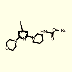 CC(C)(C)OC(=O)N[C@@H]1CCCN(c2cc(I)cc(N3CCOCC3)n2)C1